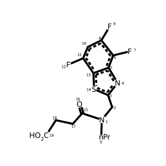 CCCN(Cc1nc2c(F)c(F)cc(F)c2s1)C(=O)CCC(=O)O